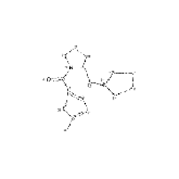 Cc1ccc(C(=O)N2CCCC2CN2CCCC2)s1